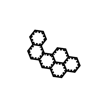 c1ccc2c(c1)ccc1cc3ccc4cccc5ccc(c12)c3c45